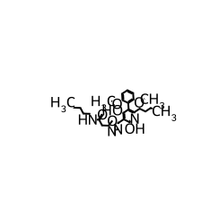 CCCCCNC(=O)Cc1nnc(-c2c(O)nc(CCCC)c(-c3c(OC)cccc3OC)c2O)o1